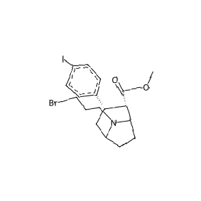 COC(=O)[C@@H]1C2CCC(C[C@@H]1c1ccc(I)cc1)N2CCCBr